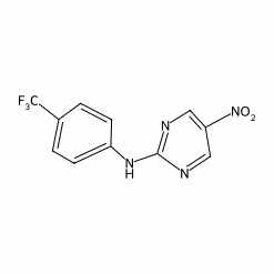 O=[N+]([O-])c1cnc(Nc2ccc(C(F)(F)F)cc2)nc1